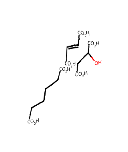 O=C(O)C=CC(=O)O.O=C(O)CC(O)C(=O)O.O=C(O)CCCCC(=O)O